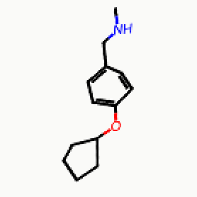 CNCc1ccc(OC2CCCC2)cc1